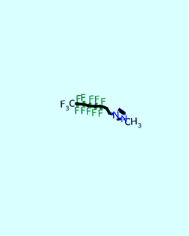 CN1C=CN(CCC(F)(F)C(F)(F)C(F)(F)C(F)(F)C(F)(F)C(F)(F)F)C1